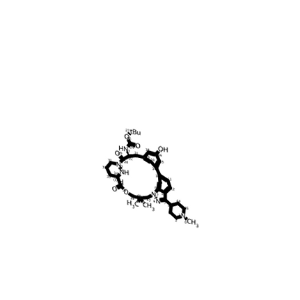 CN1CCC(c2nn3c4cc(ccc24)-c2cc(O)cc(c2)C[C@H](NC(=O)OC(C)(C)C)C(=O)N2CCC[C@H](N2)C(=O)OCC(C)(C)C3)CC1